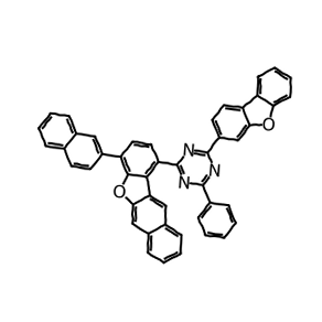 c1ccc(-c2nc(-c3ccc4c(c3)oc3ccccc34)nc(-c3ccc(-c4ccc5ccccc5c4)c4oc5cc6ccccc6cc5c34)n2)cc1